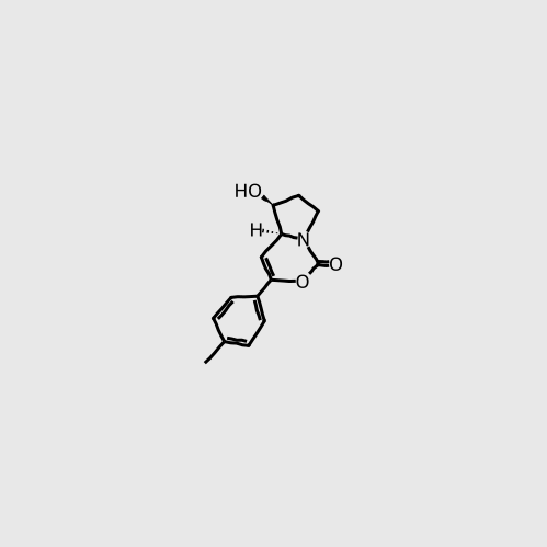 Cc1ccc(C2=C[C@H]3[C@@H](O)CCN3C(=O)O2)cc1